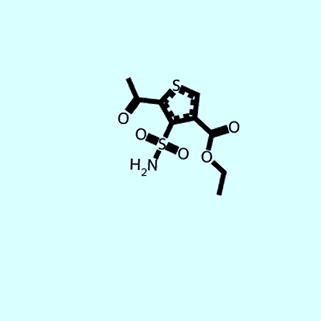 CCOC(=O)c1csc(C(C)=O)c1S(N)(=O)=O